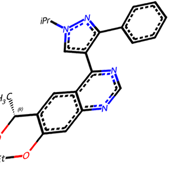 CCOc1cc2ncnc(-c3cn(C(C)C)nc3-c3ccccc3)c2cc1[C@@H](C)O